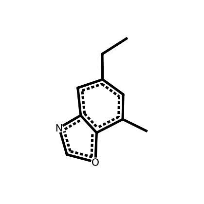 CCc1cc(C)c2ocnc2c1